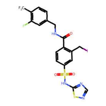 O=C(NCc1ccc(C(F)(F)F)c(F)c1)c1ccc(S(=O)(=O)Nc2ncns2)cc1CI